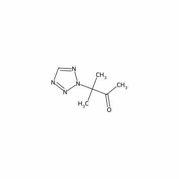 CC(=O)C(C)(C)n1ncnn1